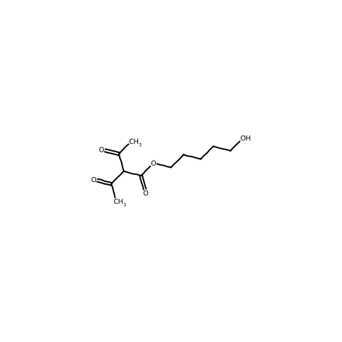 CC(=O)C(C(C)=O)C(=O)OCCCCCO